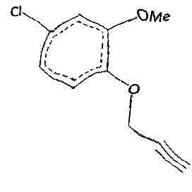 C#CCOc1ccc(Cl)cc1OC